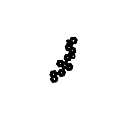 C1=Cc2cccc(-c3cccc(-c4c5ccccc5c(-c5ccc6c(c5)oc5ccc7c(ccc8sc9c(c87)CCC=C9)c56)c5ccccc45)c3)c2CC1